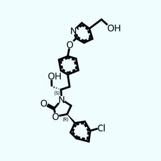 O=C1O[C@H](c2cccc(Cl)c2)CN1[C@H](CO)Cc1ccc(Oc2ccc(CO)cn2)cc1